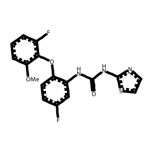 COc1cccc(F)c1Oc1ccc(F)cc1NC(=O)Nc1nccs1